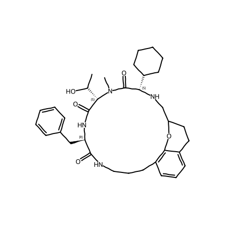 CC(O)[C@H]1C(=O)N[C@H](Cc2ccccc2)C(=O)NCCCc2cccc3c2OC(CC3)CN[C@@H](C2CCCCC2)C(=O)N1C